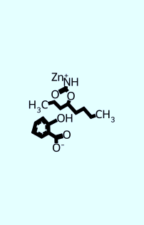 CCCCC(CCC)OC(=O)[NH][Zn+].O=C([O-])c1ccccc1O